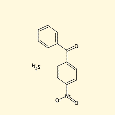 O=C(c1ccccc1)c1ccc([N+](=O)[O-])cc1.S